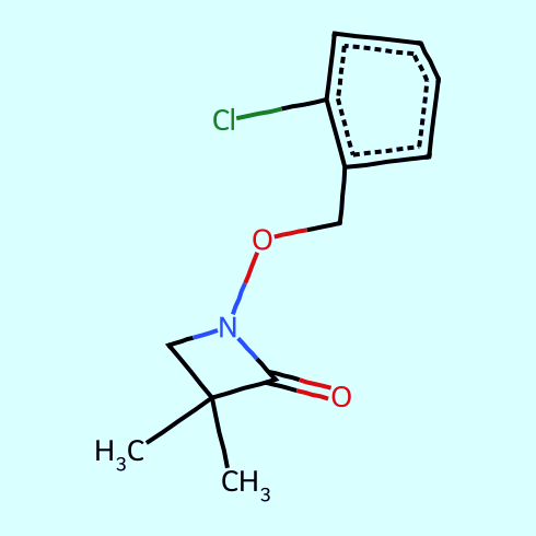 CC1(C)CN(OCc2ccccc2Cl)C1=O